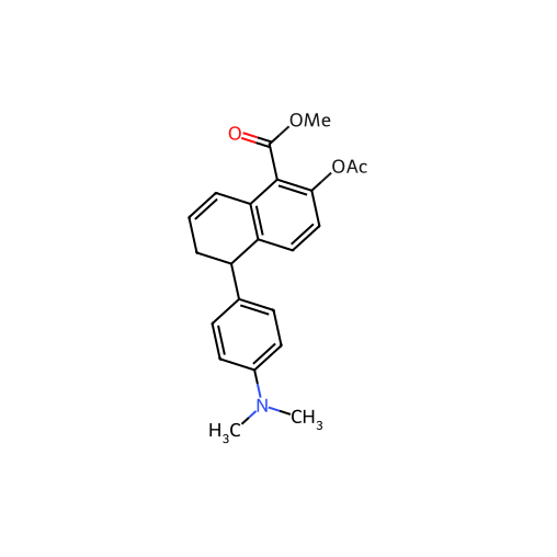 COC(=O)c1c(OC(C)=O)ccc2c1C=CCC2c1ccc(N(C)C)cc1